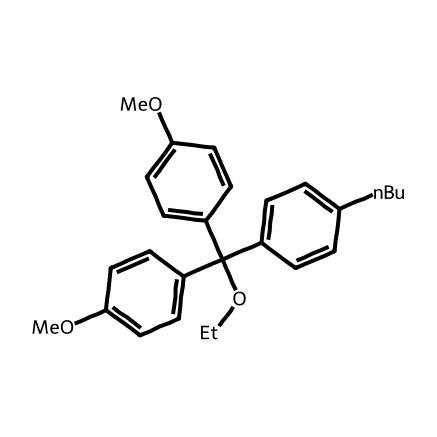 CCCCc1ccc(C(OCC)(c2ccc(OC)cc2)c2ccc(OC)cc2)cc1